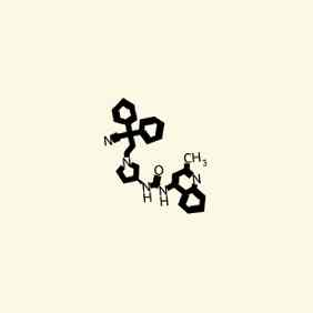 Cc1cc(NC(=O)N[C@H]2CCN(CCC(C#N)(c3ccccc3)c3ccccc3)C2)c2ccccc2n1